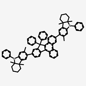 Cc1cc2c(cc1-c1ccc3c(c1)C(c1ccccc1)(c1ccccc1)c1c-3c3ccccc3c3cc(-c4cc5c(cc4C)N(c4ccccc4)C4(C)CCCCC54C)ccc13)C1(C)CCCCC1(C)N2c1ccccc1